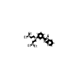 CCN(CC)CCN(CCN(CC)CC)c1cccc(-c2nc3ncccc3n2C)c1